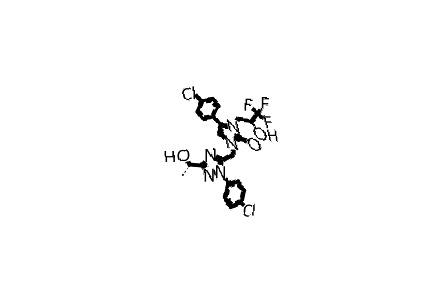 C[C@H](O)c1nc(Cn2cc(-c3ccc(Cl)cc3)n(C[C@H](O)C(F)(F)F)c2=O)n(-c2ccc(Cl)cc2)n1